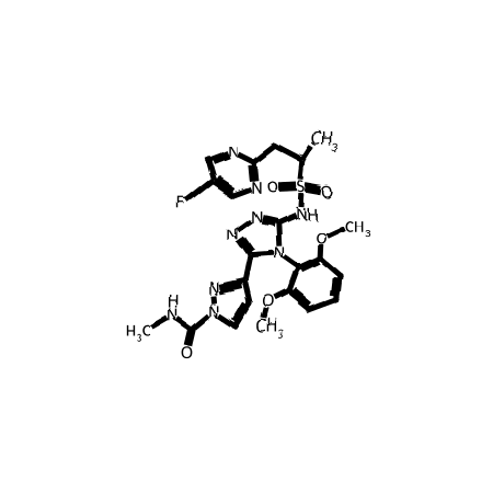 CNC(=O)n1ccc(-c2nnc(NS(=O)(=O)C(C)Cc3ncc(F)cn3)n2-c2c(OC)cccc2OC)n1